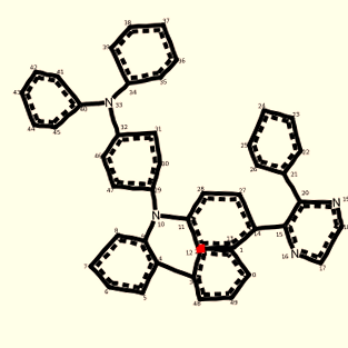 c1ccc(-c2ccccc2N(c2ccc(-c3nccnc3-c3ccccc3)cc2)c2ccc(N(c3ccccc3)c3ccccc3)cc2)cc1